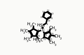 CC1=C(C)C(C)[C]([Ti](=[SiH]Cc2ccccc2)[C]2=C(C)C(C)=C(C)C2C)=C1C